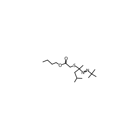 CCCCOC(=O)CSC(C)(CC(C)C)N=NC(C)(C)C